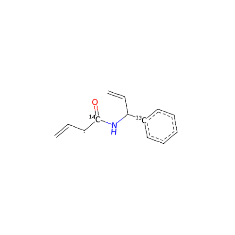 C=C[CH][14C](=O)NC(C=C)[13c]1ccccc1